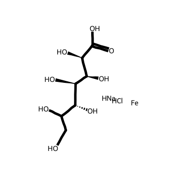 Cl.O=C(O)[C@H](O)[C@@H](O)[C@H](O)[C@H](O)C(O)CO.[Fe].[NaH]